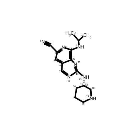 CC(C)Nc1nc(C#N)cc2cnc(N[C@H]3CCCNC3)nc12